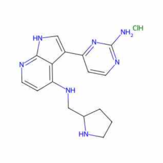 Cl.Nc1nccc(-c2c[nH]c3nccc(NCC4CCCN4)c23)n1